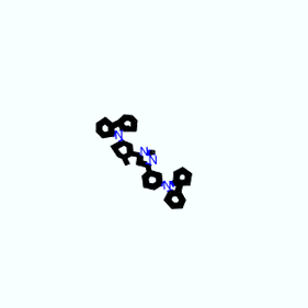 CC1CC=C(n2c3ccccc3c3ccccc32)C=C1c1cc(-c2cccc(-n3c4ccccc4c4ccccc43)c2)ncn1